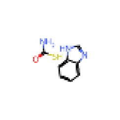 NC(=O)S.c1ccc2[nH]cnc2c1